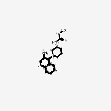 CC(C)(C)OC(=O)N[C@H]1CCCN(c2c(N)cnc3ccccc23)C1